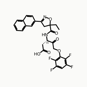 CCC1(C(=O)N[C@@H](CC(=O)O)C(=O)COc2c(F)c(F)cc(F)c2F)CC(c2ccc3ccccc3c2)=NO1